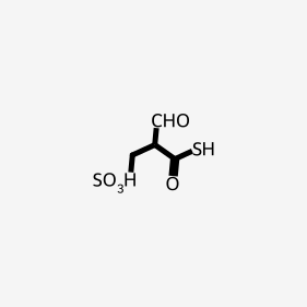 O=CC(CS(=O)(=O)O)C(=O)S